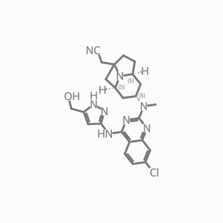 CN(c1nc(Nc2cc(CO)[nH]n2)c2ccc(Cl)cc2n1)[C@H]1C[C@@H]2CCC3(CC#N)C[C@H](C1)N23